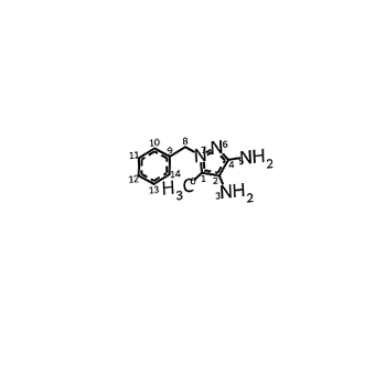 Cc1c(N)c(N)nn1Cc1ccccc1